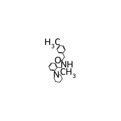 Cc1ccc(CC(=O)NC(C)c2ccccc2N2CCCCC2)cc1